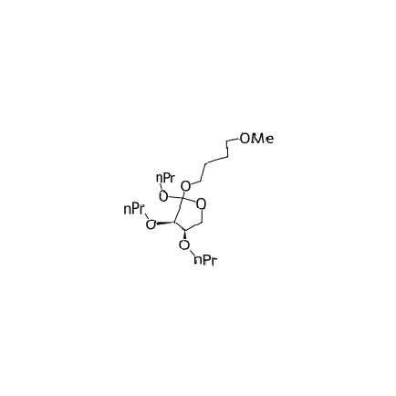 CCCO[C@@H]1[C@H](OCCC)COC1(OCCC)OCCCCOC